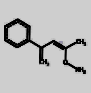 C=C(/C=C(/C)ON)c1ccccc1